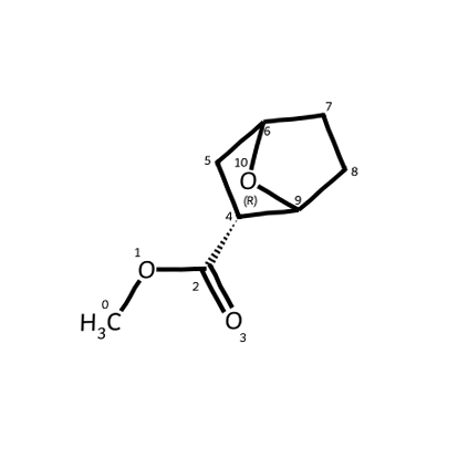 COC(=O)[C@@H]1CC2CCC1O2